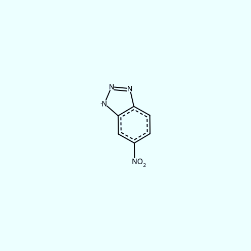 O=[N+]([O-])c1ccc2c(c1)[N]N=N2